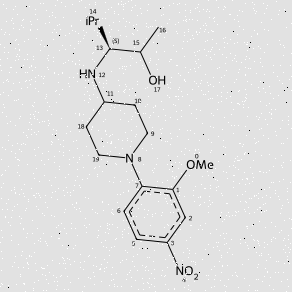 COc1cc([N+](=O)[O-])ccc1N1CCC(N[C@@H](C(C)C)C(C)O)CC1